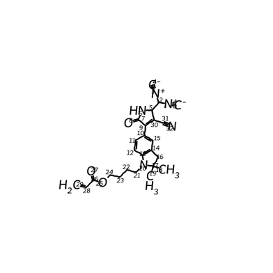 [C-]#[N+]C([N+]#[C-])C1NC(=O)C(c2ccc3c(c2)CC(C)(C)N3CCCCOC(=O)C=C)=C1C#N